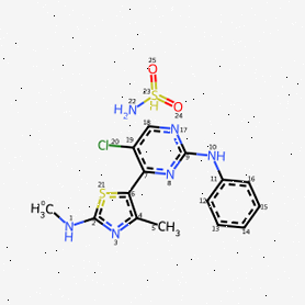 CNc1nc(C)c(-c2nc(Nc3ccccc3)ncc2Cl)s1.N[SH](=O)=O